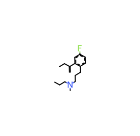 C=C(CC)c1cc(F)ccc1CCCN(C)CCC